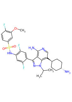 COc1cc(S(=O)(=O)Nc2cc(F)c(-c3nn(C(C)C)c4c3c(N)ncc4[C@H]3CC[C@H](N)CC3)cc2F)ccc1F